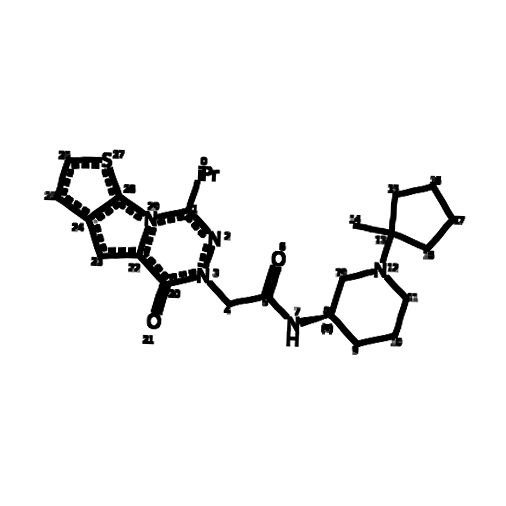 CC(C)c1nn(CC(=O)N[C@@H]2CCCN(C3(C)CCCC3)C2)c(=O)c2cc3ccsc3n12